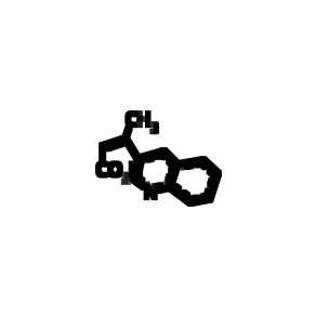 C/C(=C/C(=O)O)c1cnc2ccccc2c1